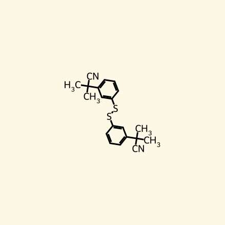 CC(C)(C#N)c1cccc(SSc2cccc(C(C)(C)C#N)c2)c1